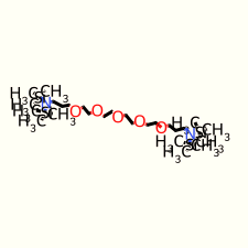 C[Si](C)(C)N(CCCOCCOCCOCCOCCOCCCN([Si](C)(C)C)[Si](C)(C)C)[Si](C)(C)C